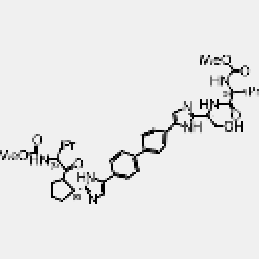 COC(=O)N[C@H](C(=O)N[C@@H](CO)c1ncc(-c2ccc(-c3ccc(-c4cnc([C@@H]5CCCC5C(=O)[C@@H](NC(=O)OC)C(C)C)[nH]4)cc3)cc2)[nH]1)C(C)C